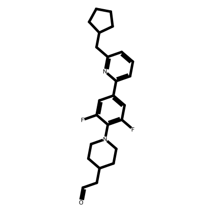 O=CCC1CCN(c2c(F)cc(-c3cccc(CC4CCCC4)n3)cc2F)CC1